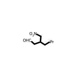 CC(C)CC(CC=O)C[N+](=O)[O-]